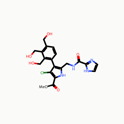 COC(=O)c1[nH]c(CNC(=O)c2ncc[nH]2)c(-c2ccc(CO)c(CO)c2CO)c1Cl